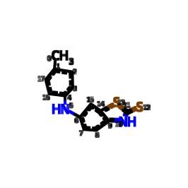 Cc1ccc(Nc2ccc3[nH]c(=S)sc3c2)cc1